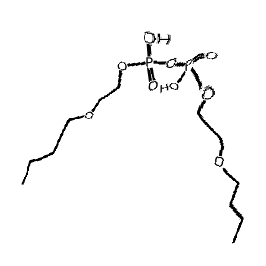 CCCCOCCOP(=O)(O)OP(=O)(O)OCCOCCCC